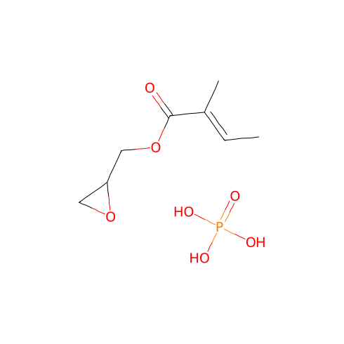 CC=C(C)C(=O)OCC1CO1.O=P(O)(O)O